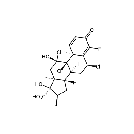 C[C@@H]1C[C@H]2[C@@H]3C[C@H](Cl)C4=C(F)C(=O)C=C[C@]4(C)[C@@]3(Cl)[C@@](O)(Cl)C[C@]2(C)[C@@]1(O)C(=O)O